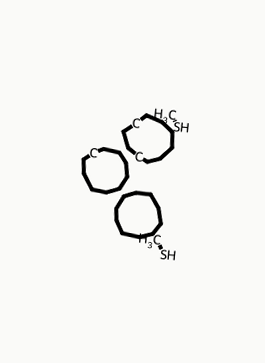 C1CCCCCCCCC1.C1CCCCCCCCC1.C1CCCCCCCCC1.CS.CS